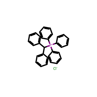 [Cl-].c1ccc(C(c2ccccc2)[P+](c2ccccc2)(c2ccccc2)c2ccccc2)cc1